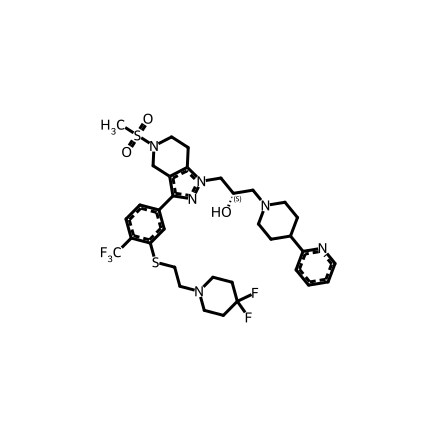 CS(=O)(=O)N1CCc2c(c(-c3ccc(C(F)(F)F)c(SCCN4CCC(F)(F)CC4)c3)nn2C[C@@H](O)CN2CCC(c3ccccn3)CC2)C1